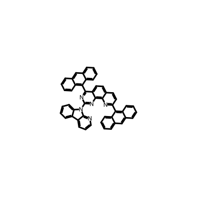 c1ccc2c(-c3ccc4ccc5c(-c6c7ccccc7cc7ccccc67)nc(-n6c7ccccc7c7cccnc76)nc5c4n3)c3ccccc3cc2c1